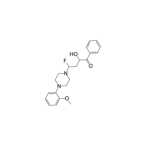 COc1ccccc1N1CCN(C(F)CC(O)C(=O)c2ccccc2)CC1